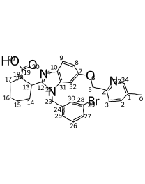 Cc1ccc(COc2ccc3nc(C4CCCC[C@H]4C(=O)O)n(Cc4cccc(Br)c4)c3c2)nc1